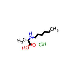 CCCCCCN[C@@H](C)C(=O)O.Cl